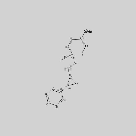 CSN1CCC(F)(CNC2CC2c2ccccc2)CC1